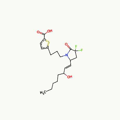 CCCCCC(O)C=CC1CC(F)(F)C(=O)N1CCCc1ccc(C(=O)O)s1